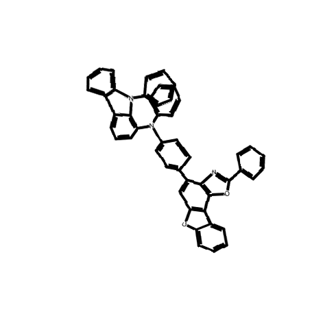 c1ccc(-c2nc3c(-c4ccc(N(c5ccccc5)c5cccc6c7ccccc7n(-c7ccccc7)c56)cc4)cc4oc5ccccc5c4c3o2)cc1